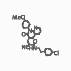 COc1ccc(-n2c(=O)c(C=C(C#N)C(=O)NCCc3ccc(Cl)cc3)cc3cccnc32)cc1